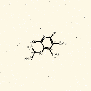 CCCCCC[C@@H](C)Oc1c([N+](=O)[O-])cc(Br)c(OC)c1OC